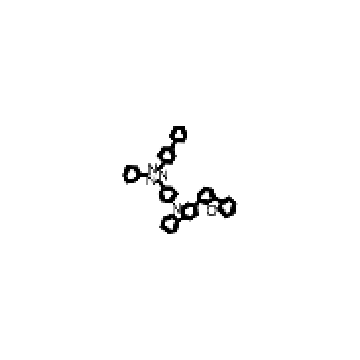 c1ccc(-c2ccc(-c3nc(-c4ccccc4)nc(-c4ccc(-n5c6ccccc6c6ccc(-c7cccc8c7oc7ccccc78)cc65)cc4)n3)cc2)cc1